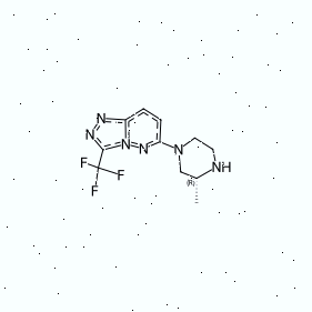 C[C@@H]1CN(c2ccc3nnc(C(F)(F)F)n3n2)CCN1